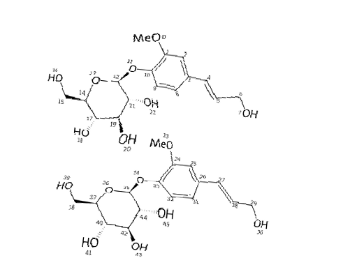 COc1cc(/C=C/CO)ccc1O[C@@H]1O[C@H](CO)[C@@H](O)[C@H](O)[C@H]1O.COc1cc(/C=C/CO)ccc1O[C@@H]1O[C@H](CO)[C@@H](O)[C@H](O)[C@H]1O